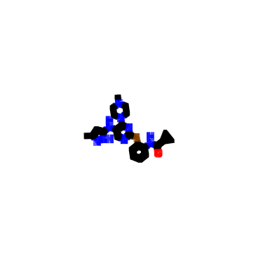 Cc1cc(Nc2cnc(Sc3ccccc3NC(=O)C3CC3)nc2N2CCN(C)CC2)[nH]n1